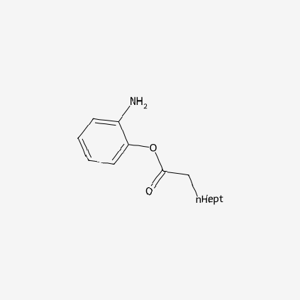 CCCCCCCCC(=O)Oc1ccccc1N